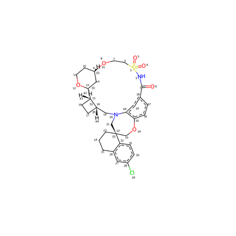 O=C1NS(=O)(=O)CCO[C@H]2CCO[C@@H](C2)[C@H]2CC[C@H]2CN2C[C@@]3(CCCc4cc(Cl)ccc43)COc3ccc1cc32